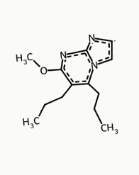 CCCc1c(OC)nc2n[c]cn2c1CCC